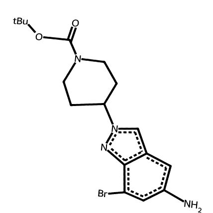 CC(C)(C)OC(=O)N1CCC(n2cc3cc(N)cc(Br)c3n2)CC1